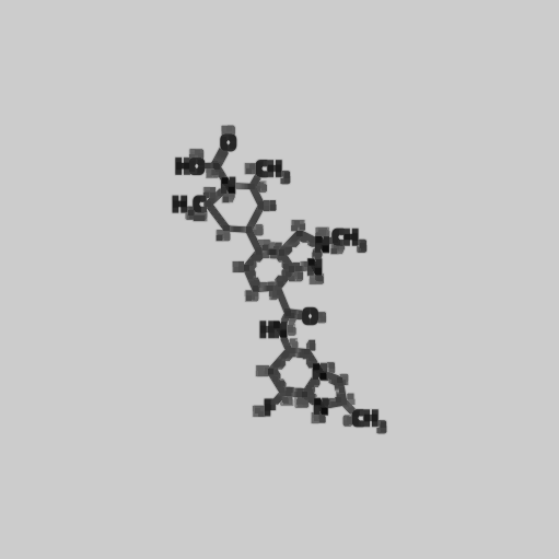 Cc1cn2cc(NC(=O)c3ccc(C4CC(C)N(C(=O)O)C(C)C4)c4cn(C)nc34)cc(F)c2n1